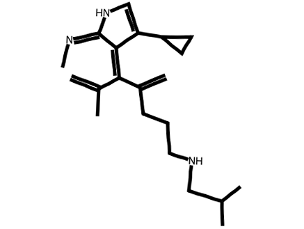 C=C(C)/C(C(=C)CCCNCC(C)C)=C1/C(C2CC2)=CN/C1=N/C